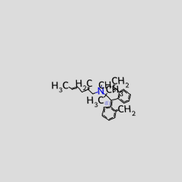 C=Cc1ccccc1/C(=c1/ccccc1=C)C(C)(C)N(C)CC(=C)CC=CC